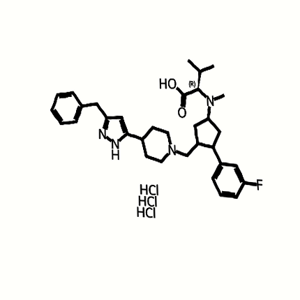 CC(C)[C@H](C(=O)O)N(C)C1CC(CN2CCC(c3cc(Cc4ccccc4)n[nH]3)CC2)C(c2cccc(F)c2)C1.Cl.Cl.Cl